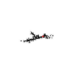 CCCCCCCCCC(CCCCCC)C(=O)OCCCCCC(CCCCCCOC(=O)C(CCCCCC)CCCCCCCC)N(CCCCCCCCC)C(=O)CCCN(C)C